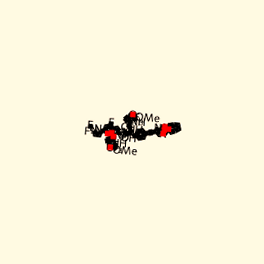 COC(=O)N[C@H](C(=O)N[C@@H](Cc1ccc(C#Cc2cnc(N3CC4CCC(C3)N4C3COC3)cn2)cc1)[C@@H](O)CN(Cc1c(F)cc(-c2ccn(C(F)F)n2)cc1F)NC(=O)[C@@H](NC(=O)OC)C(C)(C)C(F)(F)F)C(C)(C)C(F)(F)F